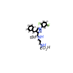 CC(C)(C)[C@@H](NCCCNC(=O)O)c1nn(-c2cc(F)ccc2F)cc1Cc1ccccc1